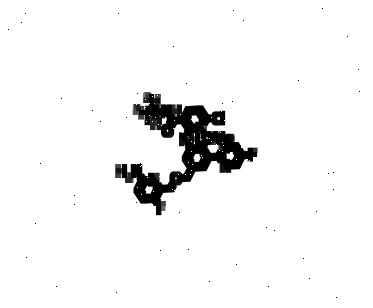 [2H]C([2H])([2H])NC(=O)c1ccc(Cl)nc1Nc1cc(COCc2nc(N)ccc2F)cc(-c2ncc(F)cn2)c1OC